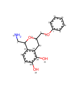 NCC1OC(COc2ccccc2)Cc2c1ccc(O)c2O